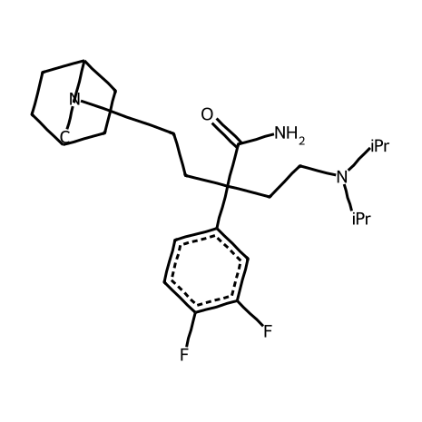 CC(C)N(CCC(CCN1CC2CCC(CC2)C1)(C(N)=O)c1ccc(F)c(F)c1)C(C)C